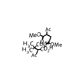 CC(=O)C(C(=O)O)C(C)(C)C(=O)O.COC(=O)CC(C(C)=O)C(=O)OC